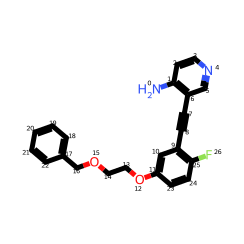 Nc1ccncc1C#Cc1cc(OCCOCc2ccccc2)ccc1F